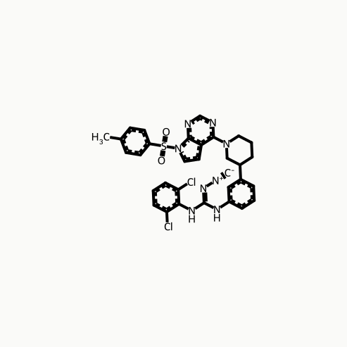 [C-]#[N+]/N=C(\Nc1cccc(C2CCCN(c3ncnc4c3ccn4S(=O)(=O)c3ccc(C)cc3)C2)c1)Nc1c(Cl)cccc1Cl